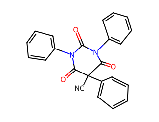 N#CC1(c2ccccc2)C(=O)N(c2ccccc2)C(=O)N(c2ccccc2)C1=O